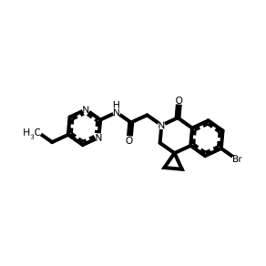 CCc1cnc(NC(=O)CN2CC3(CC3)c3cc(Br)ccc3C2=O)nc1